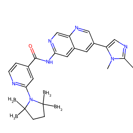 BC1(B)CCC(B)(B)N1c1cc(C(=O)Nc2cc3cc(-c4cnc(C)n4C)cnc3cn2)ccn1